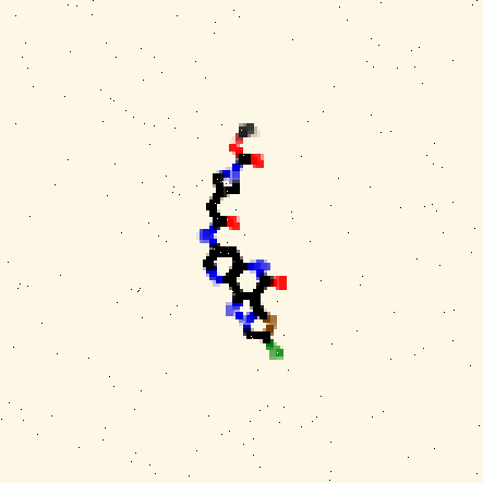 CC(C)(C)OC(=O)N1CC(CC(=O)Nc2cnc3c(c2)[nH]c(=O)c2c3nn3cc(Br)sc23)C1